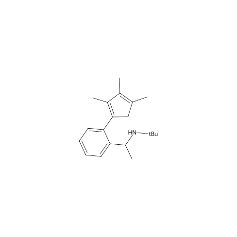 CC1=C(C)C(C)=C(c2ccccc2C(C)NC(C)(C)C)C1